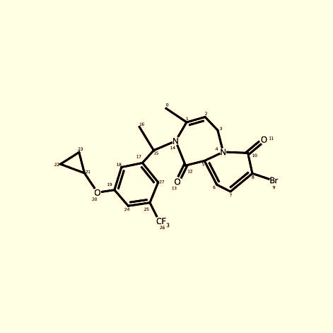 CC1=CCn2c(ccc(Br)c2=O)C(=O)N1C(C)c1cc(OC2CC2)cc(C(F)(F)F)c1